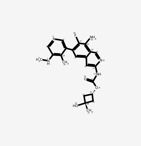 CNc1cncc(-c2cc3cc(NC(=O)O[C@H]4C[C@@](C)(O)C4)ncc3c(N)c2F)c1C